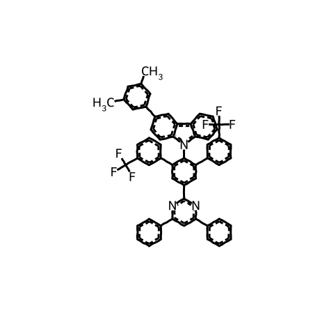 Cc1cc(C)cc(-c2ccc3c(c2)c2ccccc2n3-c2c(-c3cccc(C(F)(F)F)c3)cc(-c3nc(-c4ccccc4)cc(-c4ccccc4)n3)cc2-c2cccc(C(F)(F)F)c2)c1